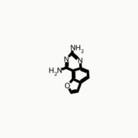 Nc1nc(N)c2c(ccc3ccoc32)n1